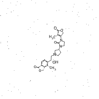 CC1=C(N2CCN(C3CCN(C[C@H](O)c4ccc5c(c4C)COC5=O)C3)C2=O)COC1=O